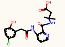 CC(C)(CC(=O)O)NC(=O)c1ncccc1NC(=O)Cc1cc(Cl)ccc1O